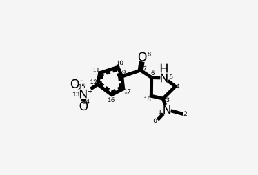 CN(C)C1CNC(C(=O)c2ccc([N+](=O)[O-])cc2)C1